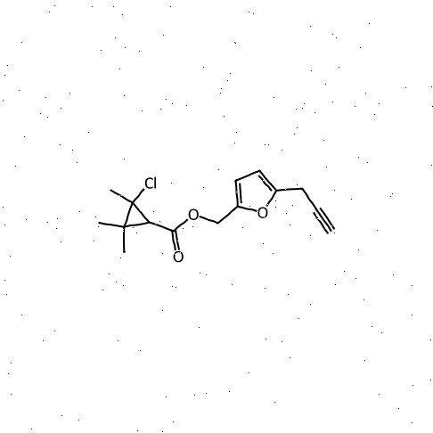 C#CCc1ccc(COC(=O)C2C(C)(C)C2(C)Cl)o1